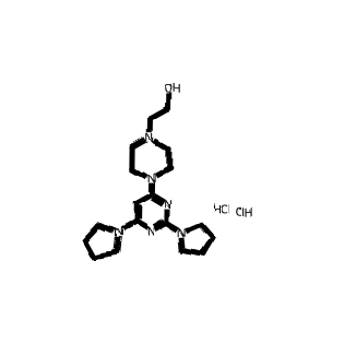 Cl.Cl.OCCN1CCN(c2cc(N3CCCC3)nc(N3CCCC3)n2)CC1